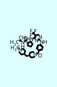 CC(C)NC(=O)[C@H]1CCC[C@H]1Nc1nc(Nc2ccc(C(=O)N3CCC(CC4CCN(C)CC4)CC3)cc2)ncc1C(F)(F)F